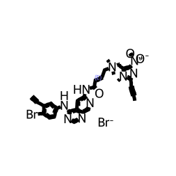 C#Cc1cc(Nc2ncnc3cnc(NC(=O)/C=C/C[N+](C)(C)Cc4c([N+](=O)[O-])nc(C#CC)n4C)cc23)ccc1Br.[Br-]